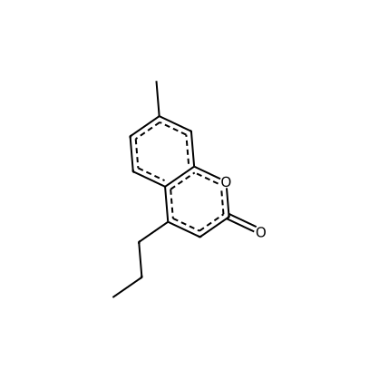 CCCc1cc(=O)oc2cc(C)ccc12